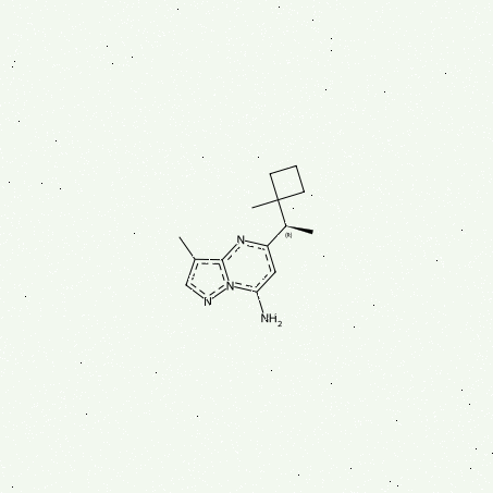 Cc1cnn2c(N)cc([C@H](C)C3(C)CCC3)nc12